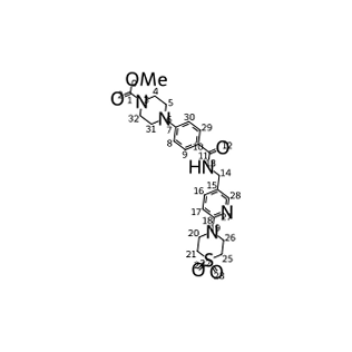 COC(=O)N1CCN(c2ccc(C(=O)NCc3ccc(N4CCS(=O)(=O)CC4)nc3)cc2)CC1